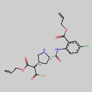 C=CCOC(=O)c1cc(Cl)ccc1NC(=O)[C@@H]1C[C@@H](C(C(=O)S)C(=O)OCC=C)CN1